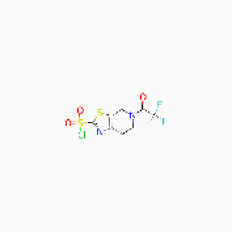 O=C(N1CCc2nc(S(=O)(=O)Cl)sc2C1)C(F)(F)F